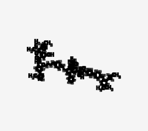 Cc1cc([C@H](C(=O)N2C[C@H](O)C[C@H]2C(=O)NCc2ccc(-c3scnc3C)cc2OCCCCN2CCN(CC[C@H](CSc3ccccc3)Nc3ccc(S(=O)(=O)NC(=O)c4ccc(N5CCN(CC6=C(C78CC(C)(C7)C8)CC(C)(C)CC6)CC5)cc4)cc3S(=O)(=O)C(F)(F)F)CC2)C(C)C)on1